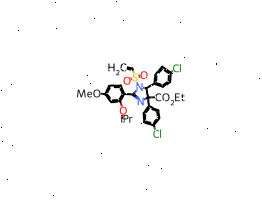 C=CS(=O)(=O)N1C(c2ccc(OC)cc2OC(C)C)=NC(C(=O)OCC)(c2ccc(Cl)cc2)C1c1ccc(Cl)cc1